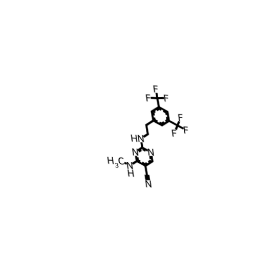 CNc1nc(NCCc2cc(C(F)(F)F)cc(C(F)(F)F)c2)ncc1C#N